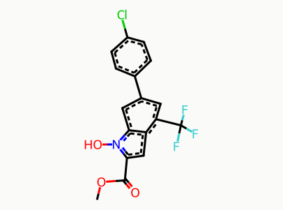 COC(=O)c1cc2c(C(F)(F)F)cc(-c3ccc(Cl)cc3)cc2n1O